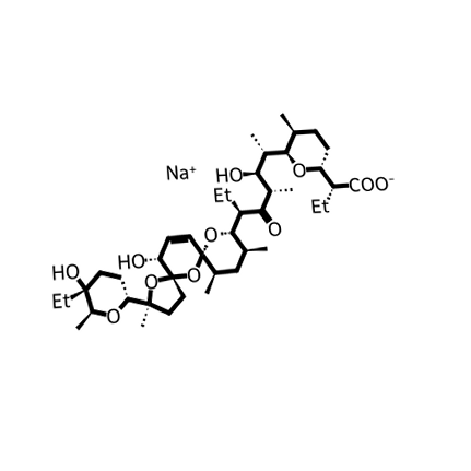 CC[C@@H](C(=O)[C@@H](C)[C@@H](O)[C@H](C)[C@@H]1O[C@@H]([C@@H](CC)C(=O)[O-])CC[C@@H]1C)[C@H]1O[C@]2(C=C[C@@H](O)[C@]3(CC[C@@](C)([C@H]4CC[C@](O)(CC)[C@H](C)O4)O3)O2)[C@H](C)C[C@@H]1C.[Na+]